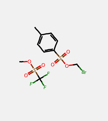 COS(=O)(=O)C(F)(F)F.Cc1ccc(S(=O)(=O)OCBr)cc1